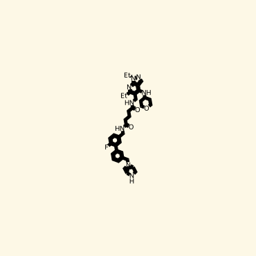 CCc1nc2c(cnn2CC)c(NC2CCOCC2)c1CNC(=O)CCCC(=O)NCc1ccc(F)c(-c2cccc(CN3CC4CC3CN4)c2)c1